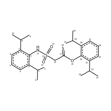 CC(C)c1cccc(C(C)C)c1NS(=O)(=O)CC(=S)Oc1c(C(C)C)cccc1C(C)C